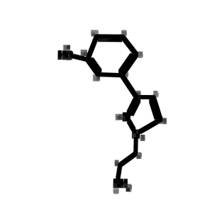 NCCn1[c]cc(-c2cccc(O)c2)n1